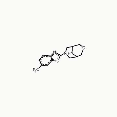 FC(F)(F)c1ccc2nc(N3CC4COCC(C3)N4)sc2c1